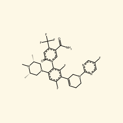 C[C@@H]1CN(c2cc(F)c(C3=CCCN(c4ncc(F)cn4)C3)c(F)c2-n2cc(C(N)=O)c(C(F)(F)F)cc2=O)C[C@H](C)N1C